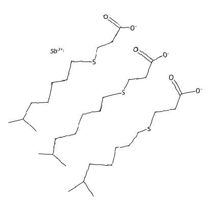 CC(C)CCCCCSCCC(=O)[O-].CC(C)CCCCCSCCC(=O)[O-].CC(C)CCCCCSCCC(=O)[O-].[Sb+3]